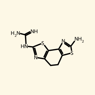 N=C(N)Nc1nc2c(s1)-c1nc(N)sc1CC2